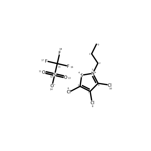 CCC[n+]1sc(Cl)c(Cl)c1Cl.O=S(=O)([O-])C(F)(F)F